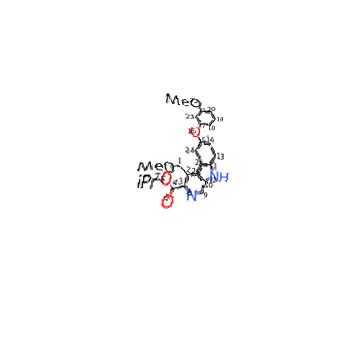 COCc1c(C(=O)OC(C)C)ncc2[nH]c3ccc(Oc4cccc(OC)c4)cc3c12